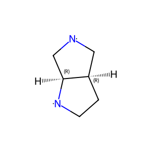 C1C[C@@H]2C[N]C[C@@H]2[N]1